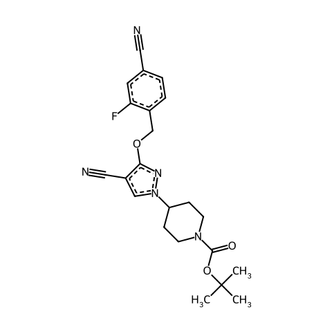 CC(C)(C)OC(=O)N1CCC(n2cc(C#N)c(OCc3ccc(C#N)cc3F)n2)CC1